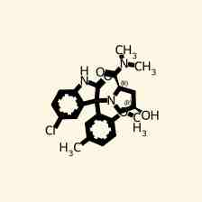 COc1ccc(C)cc1C1(N2C[C@H](O)C[C@@H]2C(=O)N(C)C)C(=O)Nc2ccc(Cl)cc21